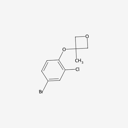 CC1(Oc2ccc(Br)cc2Cl)COC1